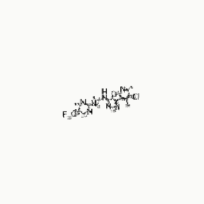 Cc1nc2oc3c(NC4CN(c5ncc(C(F)(F)F)cn5)C4)ncnc3c2c(C)c1Cl